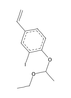 C=Cc1ccc(OC(C)OCC)c(I)c1